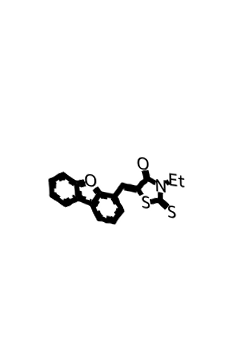 CCN1C(=O)/C(=C/c2cccc3c2oc2ccccc23)SC1=S